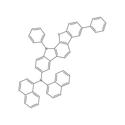 c1ccc(-c2ccc3sc4c(ccc5c6cc(N(c7cccc8ccccc78)c7cccc8ccccc78)ccc6n(-c6ccccc6)c54)c3c2)cc1